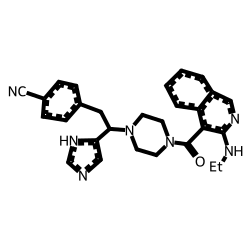 CCNc1ncc2ccccc2c1C(=O)N1CCN(C(Cc2ccc(C#N)cc2)c2cnc[nH]2)CC1